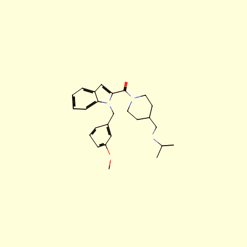 COc1cccc(Cn2c(C(=O)N3CCC(CNC(C)C)CC3)cc3ccccc32)c1